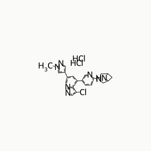 Cl.Cl.Cn1cc(-c2cc(-c3ccc(N4CC5CC(C4)N5)nc3)c3c(Cl)cnn3c2)cn1